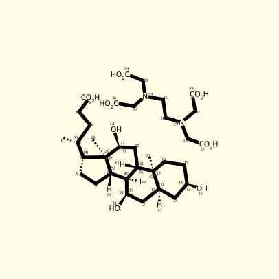 C[C@H](CCC(=O)O)[C@H]1CC[C@H]2[C@@H]3[C@H](O)C[C@@H]4C[C@H](O)CC[C@]4(C)[C@H]3C[C@H](O)[C@]12C.O=C(O)CN(CCN(CC(=O)O)CC(=O)O)CC(=O)O